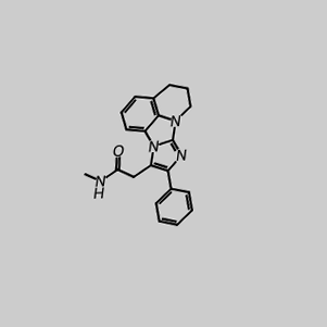 CNC(=O)Cc1c(-c2ccccc2)nc2n3c4c(cccc4n12)CCC3